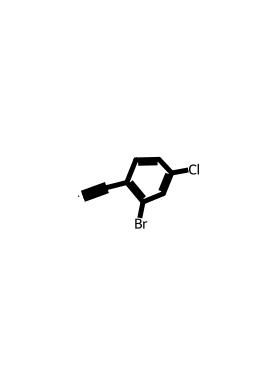 [C]#Cc1ccc(Cl)cc1Br